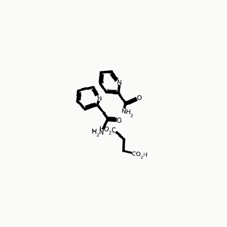 NC(=O)c1ccccn1.NC(=O)c1ccccn1.O=C(O)CCC(=O)O